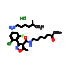 CC(CCCCN)C(=O)O.COC(=O)CCCCCNC(=O)c1c(-c2c(F)cccc2Cl)noc1C.Cl